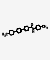 Cc1ccc(NC(=O)c2ccc(-c3ccc(C4CCC(C)CC4)cc3)cc2)cc1